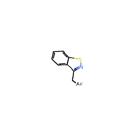 CC(=O)Cc1nsc2ccccc12